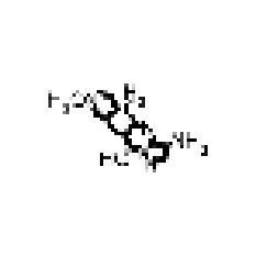 Cc1nc2c(N)cnn2c(O)c1Cc1ccc[n+](C)c1